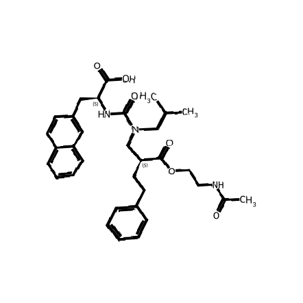 CC(=O)NCCOC(=O)[C@@H](CCc1ccccc1)CN(CC(C)C)C(=O)N[C@@H](Cc1ccc2ccccc2c1)C(=O)O